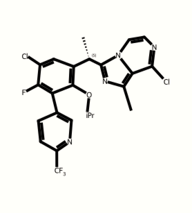 Cc1nc([C@@H](C)c2cc(Cl)c(F)c(-c3ccc(C(F)(F)F)nc3)c2OC(C)C)n2ccnc(Cl)c12